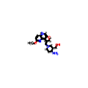 COc1ccc2ncc3c(c2n1)C(CN1CC[C@H](N)[C@H](CO)C1)CO3